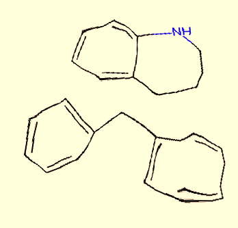 c1ccc(Cc2ccccc2)cc1.c1ccc2c(c1)CCCN2